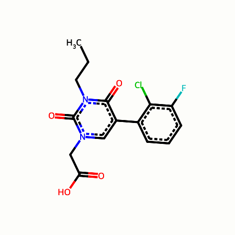 CCCn1c(=O)c(-c2cccc(F)c2Cl)cn(CC(=O)O)c1=O